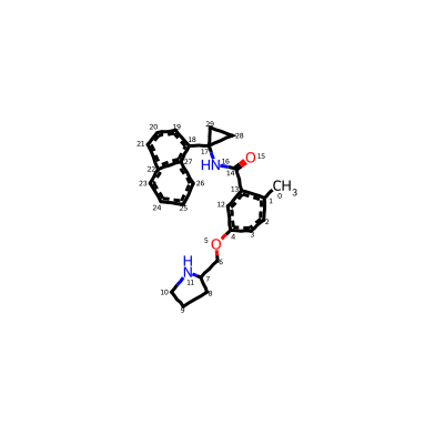 Cc1ccc(OCC2CCCN2)cc1C(=O)NC1(c2cccc3ccccc23)CC1